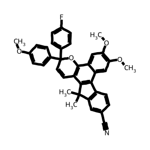 COc1ccc(C2(c3ccc(F)cc3)C=Cc3c4c(c5cc(OC)c(OC)cc5c3O2)-c2ccc(C#N)cc2C4(C)C)cc1